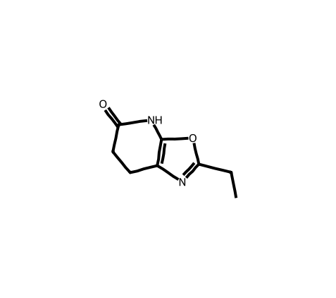 CCc1nc2c(o1)NC(=O)CC2